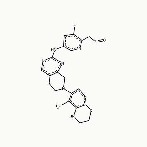 Cc1c(N2CCc3cnc(Nc4cnc(C[S+]=O)c(F)c4)nc3C2)cnc2c1NCCO2